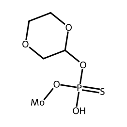 OP(=S)([O][Mo])OC1COCCO1